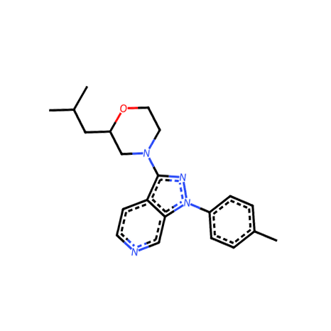 Cc1ccc(-n2nc(N3CCOC(CC(C)C)C3)c3ccncc32)cc1